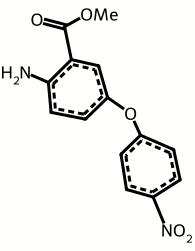 COC(=O)c1cc(Oc2ccc([N+](=O)[O-])cc2)ccc1N